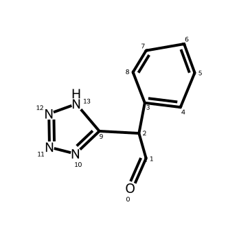 O=[C]C(c1ccccc1)c1nnn[nH]1